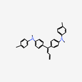 C=CC=C(c1ccc(N(C)c2ccc(C)cc2)cc1)c1ccc(N(C)c2ccc(C)cc2)cc1